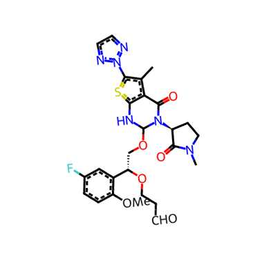 COc1ccc(F)cc1[C@H](COC1Nc2sc(-n3nccn3)c(C)c2C(=O)N1[C@H]1CCN(C)C1=O)OCCC=O